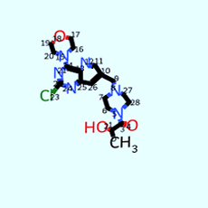 CC(O)C(=O)N1CCN(Cc2cnc3c(N4CCOCC4)nc(Cl)nc3c2)CC1